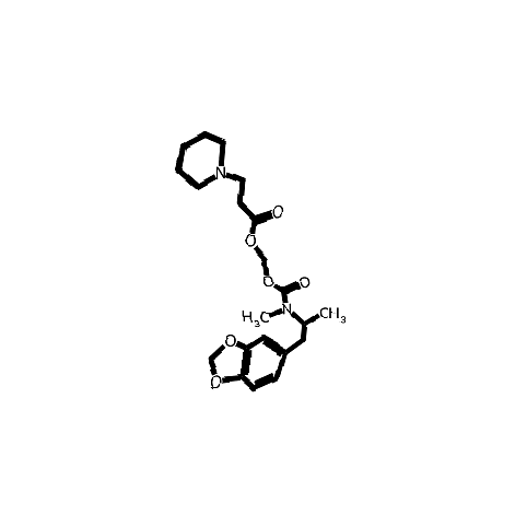 CC(Cc1ccc2c(c1)OCO2)N(C)C(=O)OCOC(=O)CCN1CCCCC1